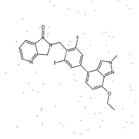 CCOc1ccc(-c2cc(F)c(CN3Cc4ncccc4C3=O)c(F)c2)c2cn(C)nc12